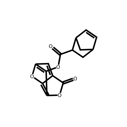 O=C1Oc2c(OC(=O)C3CC4C=CC3C4)c3cc1c2o3